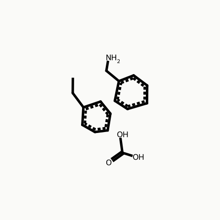 CCc1ccccc1.NCc1ccccc1.O=C(O)O